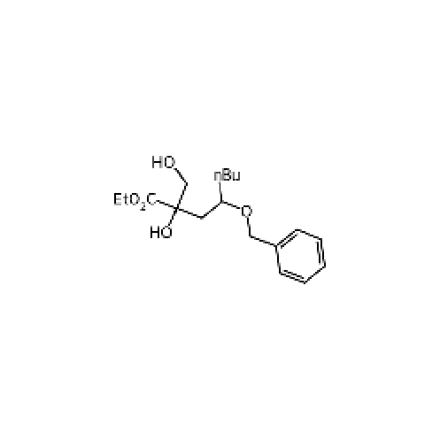 CCCCC(CC(O)(CO)C(=O)OCC)OCc1ccccc1